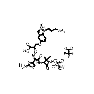 C[n+]1cc2cc(OCC(ON=C(C(=O)NC3C(=O)N(OS(=O)(=O)O)C3(C)C)c3csc(N)n3)C(=O)O)ccc2n1CCCN.O=C([O-])C(F)(F)F